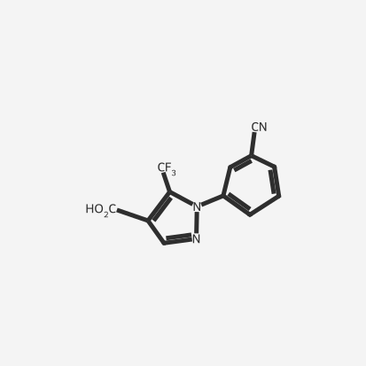 N#Cc1cccc(-n2ncc(C(=O)O)c2C(F)(F)F)c1